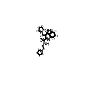 O=C(NCCN1CCCC1)c1nc2ccccc2c(O)c1CN1CCCC1